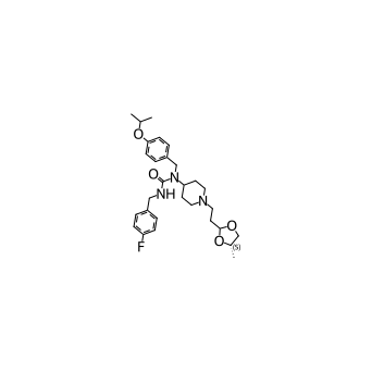 CC(C)Oc1ccc(CN(C(=O)NCc2ccc(F)cc2)C2CCN(CCC3OC[C@H](C)O3)CC2)cc1